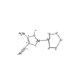 CC1C(N)=C(C#N)CN1C1CCCCC1